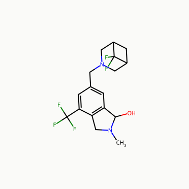 CN1Cc2c(cc(CN3CC4CC(C3)C4(F)F)cc2C(F)(F)F)C1O